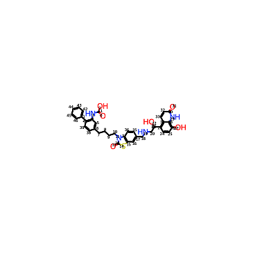 O=C(O)Nc1cc(CCCCn2c(=O)sc3cc(CNC[C@H](O)c4ccc(O)c5[nH]c(=O)ccc45)ccc32)ccc1-c1ccccc1